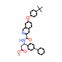 COC(=O)CC(NC(=O)c1cc2ccc(Oc3ccc(C(C)(C)C)cc3)cc2cn1)c1ccc(-c2ccccc2)cc1